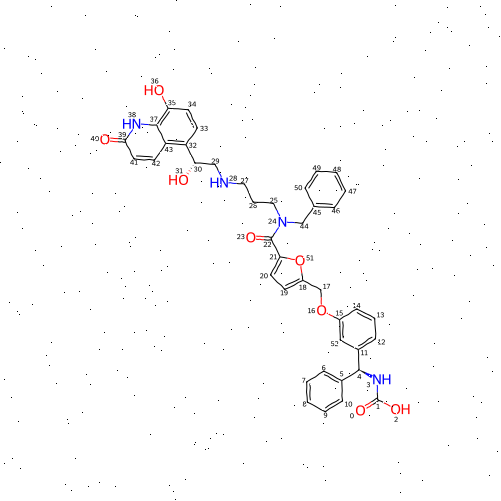 O=C(O)N[C@@H](c1ccccc1)c1cccc(OCc2ccc(C(=O)N(CCCNC[C@H](O)c3ccc(O)c4[nH]c(=O)ccc34)Cc3ccccc3)o2)c1